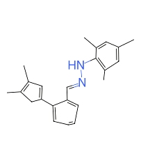 CC1=C(C)CC(c2ccccc2C=NNc2c(C)cc(C)cc2C)=C1